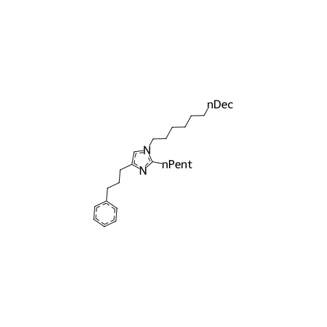 CCCCCCCCCCCCCCCCn1cc(CCCc2ccccc2)nc1CCCCC